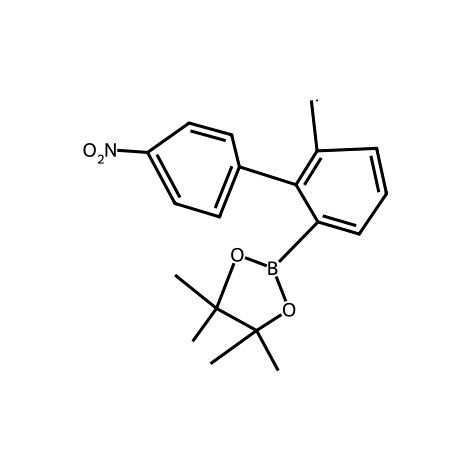 [CH2]c1cccc(B2OC(C)(C)C(C)(C)O2)c1-c1ccc([N+](=O)[O-])cc1